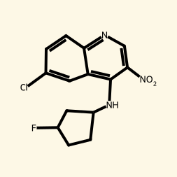 O=[N+]([O-])c1cnc2ccc(Cl)cc2c1NC1CCC(F)C1